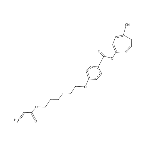 C=CC(=O)OCCCCCCOc1ccc(C(=O)OC2=CC=C(C#N)CC=C2)cc1